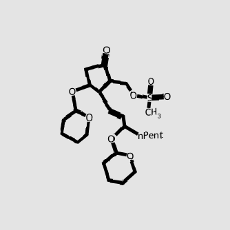 CCCCCC(C=CC1C(OC2CCCCO2)CC(=O)C1COS(C)(=O)=O)OC1CCCCO1